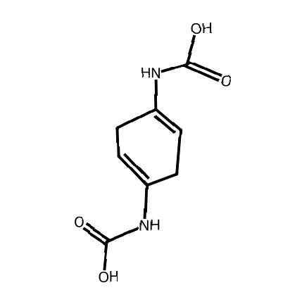 O=C(O)NC1=CCC(NC(=O)O)=CC1